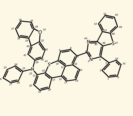 c1ccc(-c2nc(-c3ccc4c5c(cccc35)-c3cccc(N(c5ccccc5)c5ccc6oc7ccccc7c6c5)c3S4)nc3c2sc2ccccc23)cc1